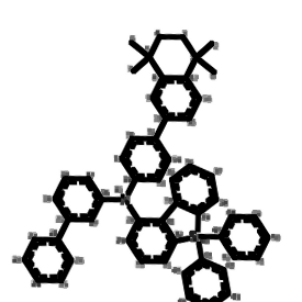 CC1(C)CCC(C)(C)c2cc(-c3ccc(N(c4cccc(-c5ccccc5)c4)c4cccc5c4-c4ccccc4[Si]5(c4ccccc4)c4ccccc4)cc3)ccc21